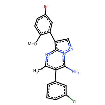 COc1ccc(Br)cc1-c1cnn2c(N)c(-c3cccc(Cl)c3)c(C)nc12